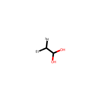 [2H]C(CC)C(O)O